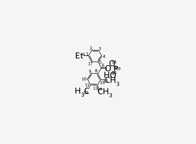 CCc1cccc(C(=O)c2ccc(C)c(C)c2C)c1.O=PO